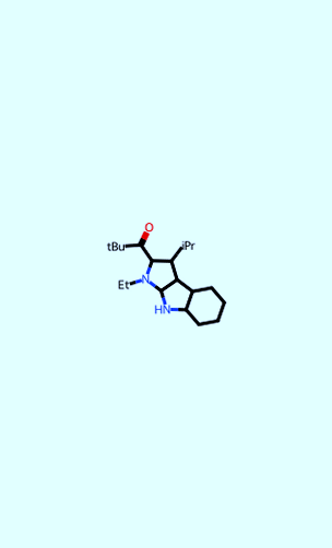 CCN1C2NC3CCCCC3C2C(C(C)C)C1C(=O)C(C)(C)C